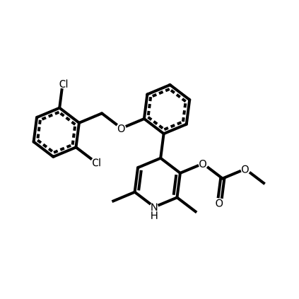 COC(=O)OC1=C(C)NC(C)=CC1c1ccccc1OCc1c(Cl)cccc1Cl